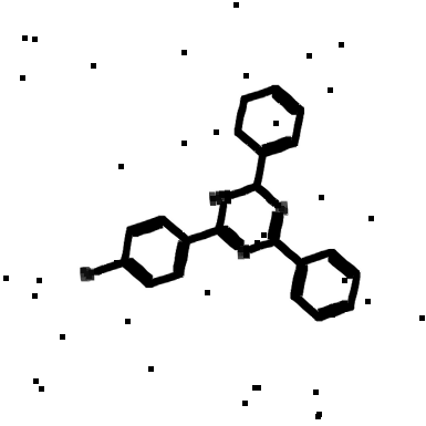 Brc1ccc(C2=NC(c3ccccc3)=NC(C3=CC=CCC3)N2)cc1